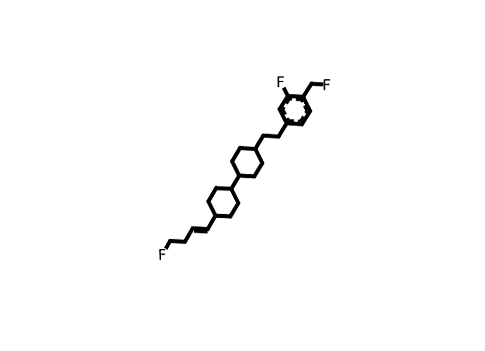 FCCC=CC1CCC(C2CCC(CCc3ccc(CF)c(F)c3)CC2)CC1